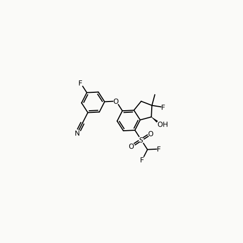 CC1(F)Cc2c(Oc3cc(F)cc(C#N)c3)ccc(S(=O)(=O)C(F)F)c2[C@@H]1O